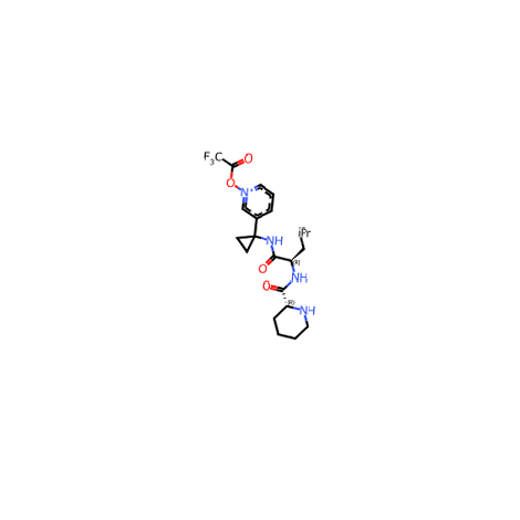 CC(C)C[C@@H](NC(=O)[C@H]1CCCCN1)C(=O)NC1(c2ccc[n+](OC(=O)C(F)(F)F)c2)CC1